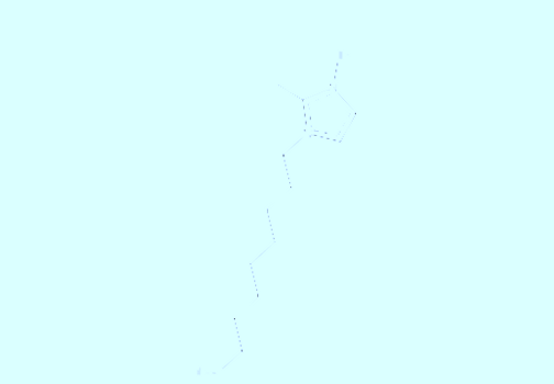 CCCCCCCCCCCCCCCCCC[n+]1ccn(C(C)C)c1CCC